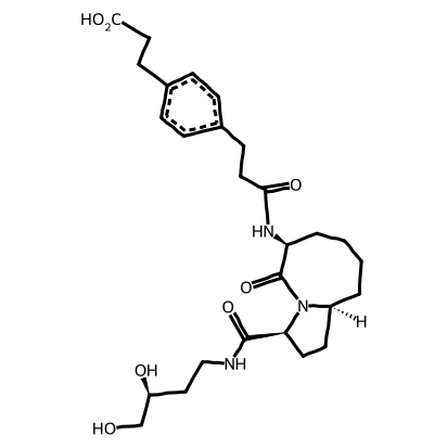 O=C(O)CCc1ccc(CCC(=O)N[C@H]2CCCC[C@H]3CC[C@@H](C(=O)NCC[C@H](O)CO)N3C2=O)cc1